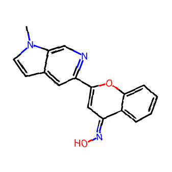 Cn1ccc2cc(-c3cc(=NO)c4ccccc4o3)ncc21